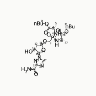 CCCCOC(=O)[C@H](C)NP(=O)(CO[C@@H]1C[C@@H](O)[C@H](n2cnc(C(N)=O)n2)O1)N[C@@H](C)C(=O)OCCCC